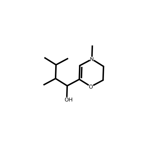 CC(C)C(C)C(O)C1=CN(C)CCO1